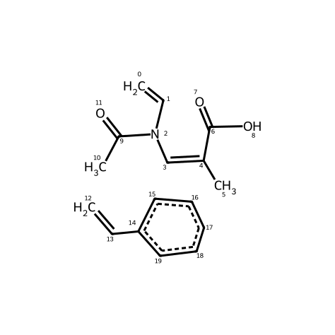 C=CN(C=C(C)C(=O)O)C(C)=O.C=Cc1ccccc1